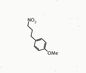 COc1ccc(CCC[N+](=O)[O-])cc1